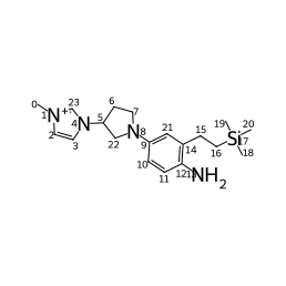 C[n+]1ccn(C2CCN(c3ccc(N)c(CC[Si](C)(C)C)c3)C2)c1